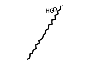 [CH2]CC(CCCCCCCCCCCCCCCCCCCC)OO